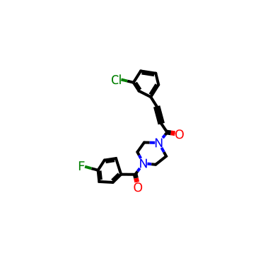 O=C(C#Cc1cccc(Cl)c1)N1CCN(C(=O)c2ccc(F)cc2)CC1